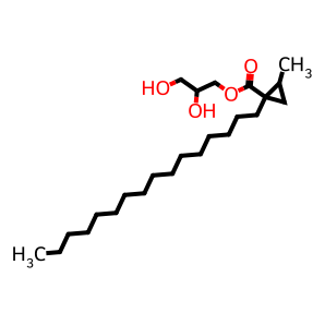 CCCCCCCCCCCCCCCCC1(C(=O)OCC(O)CO)CC1C